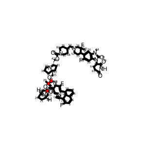 C#Cc1c(F)ccc2cccc(-c3ncc4c(N5C[C@H]6CC[C@@H](C5)N6C(=O)OC(C)(C)C)nc(OC[C@@]56CCCN5[C@H](COC(=O)N5CCC(CN7CCC(c8cc9c(cc8F)n(C8CCC(=O)NC8=O)c(=O)n9C)C(F)(F)C7)CC5)CC6)nc4c3F)c12